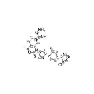 C[C@@H](Oc1nn2cc(-c3ccc(-c4nnnn4Cl)cc3F)nc2s1)C1CCN(C(=N)ON)CC1